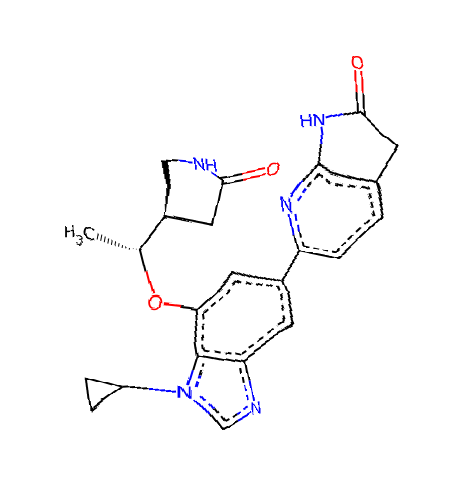 C[C@@H](Oc1cc(-c2ccc3c(n2)NC(=O)C3)cc2ncn(C3CC3)c12)[C@H]1CNC(=O)C1